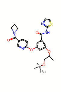 CC(CO[Si](C)(C)C(C)(C)C)Oc1cc(Oc2ccc(C(=O)N3CCC3)cn2)cc(C(=O)Nc2nccs2)c1